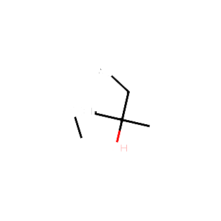 CC(=O)CC(C)(C)O.CC(=O)O